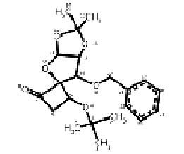 CC(C)(C)OC1CC(=O)[C@@]12OC1OC(C)(C)OC1C2OCc1ccccc1